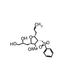 C=CC[C@@H]1O[C@H](C[C@H](O)CO)[C@H](OC)[C@H]1CS(=O)(=O)c1ccccc1